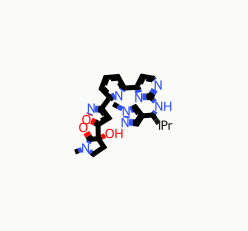 CC(C)C(Nc1nccc(-c2cccc(-c3cc(C4(O)CCN(C)C4=O)on3)n2)n1)c1cnn(C)c1